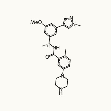 COc1cc(-c2cnn(C)c2)cc([C@@H](C)NC(=O)c2cc(N3CCNCC3)ccc2C)c1